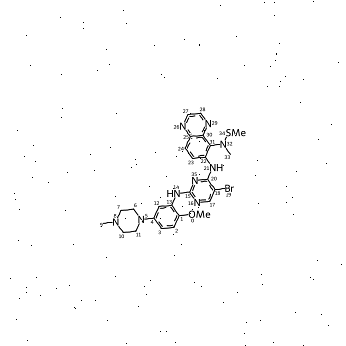 COc1ccc(N2CCN(C)CC2)cc1Nc1ncc(Br)c(Nc2ccc3nccnc3c2N(C)SC)n1